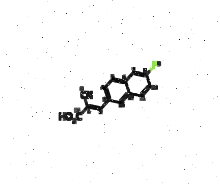 N#C/C(=C\c1ccc2cc(F)ccc2c1)C(=O)O